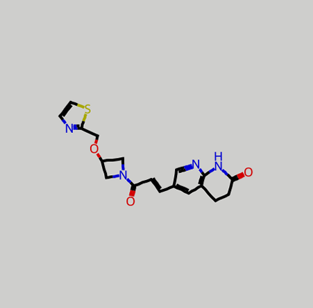 O=C1CCc2cc(C=CC(=O)N3CC(OCc4nccs4)C3)cnc2N1